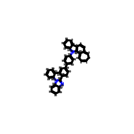 C1=CCC=c2ccc3c4ccccc4n(-c4ccc(-c5ccc6c(c5)c5ccccc5n5c7ccccc7nc65)cc4)c3c2=C1